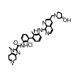 Cc1c(Nc2nccc3cc(CN4CC[C@H](O)C4)cnc23)cccc1-c1cccc(NC(=O)c2nc3c(n2C)CCN(C)C3)c1Cl